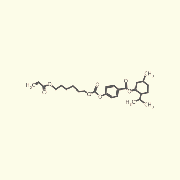 C=CC(=O)OCCCCCCOC(=O)Oc1ccc(C(=O)OC2CC(C)CCC2C(C)C)cc1